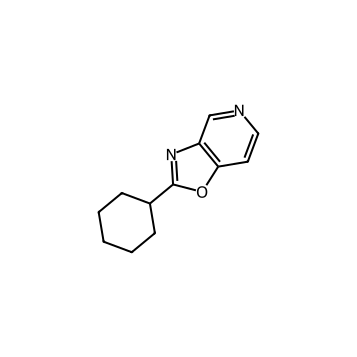 c1cc2oc(C3CCCCC3)nc2cn1